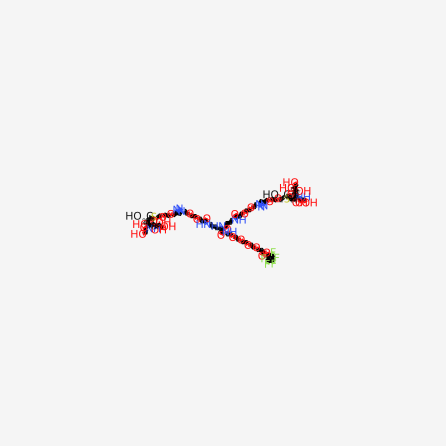 O=C(CCOCCOCCn1cc(COCCOCCS[C@@]2(C(=O)O)C[C@@H](O)[C@H](NC(=O)CO)[C@@H]([C@@H](O)[C@@H](O)CO)O2)nn1)NCCCC[C@@H](NC(=O)CCCNC(=O)CCOCCOCCn1cc(COCCOCCS[C@@]2(C(=O)O)C[C@@H](O)[C@H](NC(=O)CO)[C@@H]([C@@H](O)[C@@H](O)CO)O2)nn1)C(=O)NCCOCCOCCOCCOCCC(=O)Oc1c(F)c(F)c(F)c(F)c1F